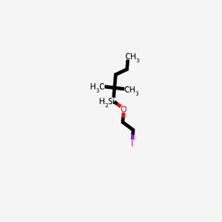 CCCC(C)(C)[SiH2]OCCI